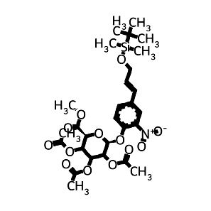 COC(=O)[C@H]1O[C@@H](Oc2ccc(/C=C/CO[Si](C)(C)C(C)(C)C)cc2[N+](=O)[O-])C(OC(C)=O)C(OC(C)=O)C1OC(C)=O